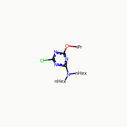 CCCCCCN(CCCCCC)c1nc(Cl)nc(OC(C)C)n1